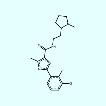 Cc1nc(-c2cccc(Cl)c2Cl)sc1C(=O)NCCC1CCCN1C